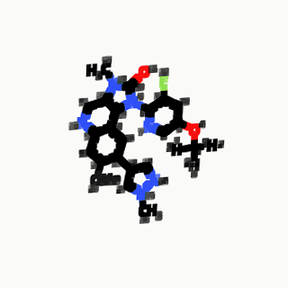 [2H]C([2H])([2H])Oc1cnc(-n2c(=O)n(C)c3cnc4cc(OC)c(-c5cnn(C)c5)cc4c32)c(F)c1